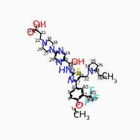 CCOc1ccc(-c2nc(NC(O)c3cnc(N4CCN(CCC(=O)O)CC4)cn3)sc2CN2CCC[C@H]2CC)cc1C(F)(F)F